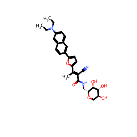 CCN(CC)c1ccc2cc(-c3ccc(/C(C)=C(\C#N)C(=O)NC[C@H]4OC[C@H](O)[C@@H](O)[C@@H]4O)o3)ccc2c1